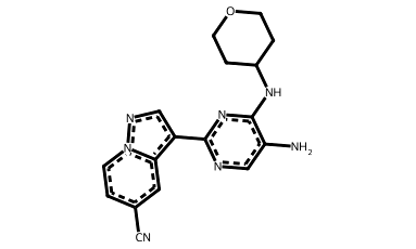 N#Cc1ccn2ncc(-c3ncc(N)c(NC4CCOCC4)n3)c2c1